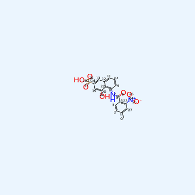 Cc1ccc(C(=O)Nc2cccc3cc(S(=O)(=O)O)cc(O)c23)c([N+](=O)[O-])c1